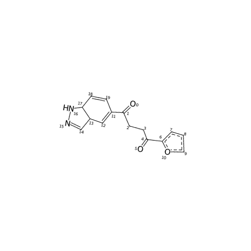 O=C(CCC(=O)c1ccco1)C1=CC2C=NNC2C=C1